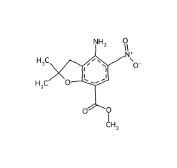 COC(=O)c1cc([N+](=O)[O-])c(N)c2c1OC(C)(C)C2